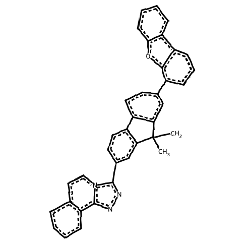 CC1(C)c2cc(-c3cccc4c3oc3ccccc34)ccc2-c2ccc(-c3nnc4c5ccccc5ccn34)cc21